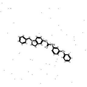 O=C(Nc1cccc(Oc2ccccc2)c1)Oc1ccc2c(c1)CCN2Cc1ccccc1